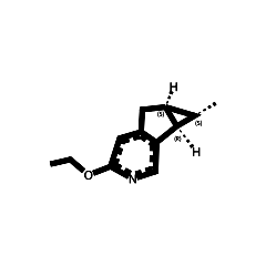 CCOc1cc2c(cn1)[C@@H]1[C@@H](C)[C@@H]1C2